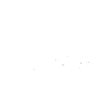 CO[C@]1(C(C)=O)CC[C@H]2[C@@H]3CC=C4CC(O)(OCc5ccc(C)cc5)CC[C@]4(C)[C@H]3CC[C@@]21C